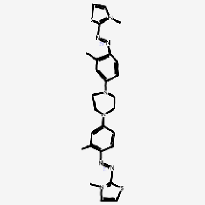 Cc1cc(N2CCN(c3ccc(/N=N/c4scc[n+]4C)c(C)c3)CC2)ccc1/N=N/c1scc[n+]1C